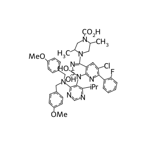 COc1ccc(CN(Cc2ccc(OC)cc2)c2ncnc(C(C)C)c2N2c3nc(-c4ccccc4F)c(Cl)cc3C(N3CC(C)N(C(=O)O)CC3C)=NS2(O)O)cc1